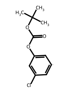 CC(C)(C)OC(=O)Oc1c[c]cc(Cl)c1